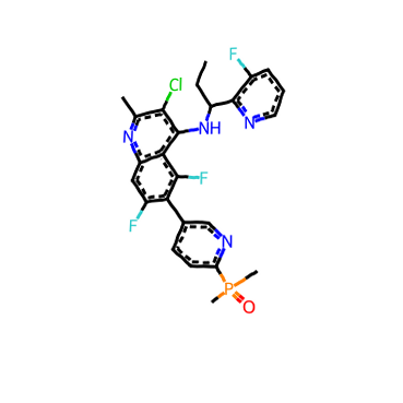 CCC(Nc1c(Cl)c(C)nc2cc(F)c(-c3ccc(P(C)(C)=O)nc3)c(F)c12)c1ncccc1F